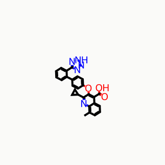 Cc1cccc2c(C(=O)O)c(Oc3ccc(-c4ccccc4-c4nn[nH]n4)cc3)c(C3CC3)nc12